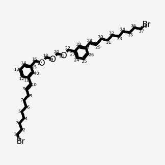 BrCCCCCCCCC=Cc1cccc(COCOCOCc2cccc(C=CCCCCCCCCBr)c2)c1